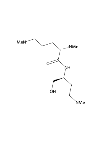 CNCCC[C@H](NC)C(=O)N[C@H](CO)CCNC